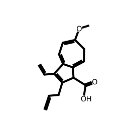 C=CCC1=C(C=C)C2=CC=C(OC)CC=C2C1C(=O)O